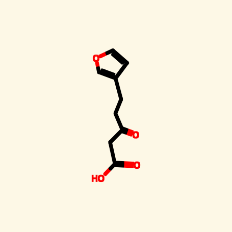 O=C(O)CC(=O)CCc1ccoc1